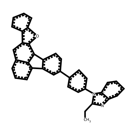 CCc1nc2ccccc2n1-c1ccc(-c2ccc3c(c2)-c2cccc4cc5c(oc6ccccc65)c-3c24)cc1